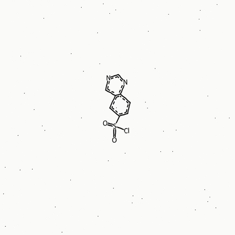 O=S(=O)(Cl)c1ccc2ncncc2c1